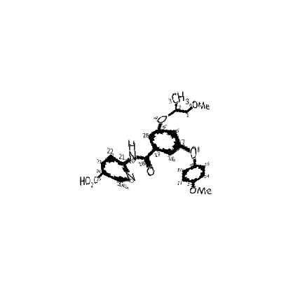 COC[C@H](C)Oc1cc(Oc2ccc(OC)cc2)cc(C(=O)Nc2ccc(C(=O)O)cn2)c1